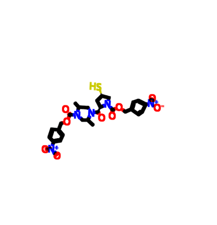 CC1CN(C(=O)[C@@H]2C[C@H](S)CN2C(=O)OCc2ccc([N+](=O)[O-])cc2)C(C)CN1C(=O)OCc1ccc([N+](=O)[O-])cc1